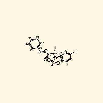 Cc1ccc(OP(C)(=O)N[C@@H](C)C(=O)OCc2ccccc2)cc1